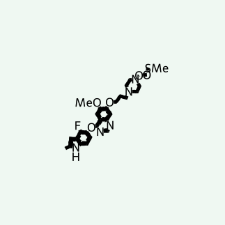 COc1cc2c(Oc3ccc4[nH]c(C)cc4c3F)ncnc2cc1OCCCN1CCN(OOSC)CC1